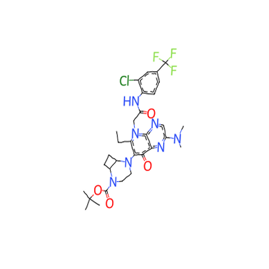 CCc1c(N2CCN(C(=O)OC(C)(C)C)C3CCC32)c(=O)c2nc(N(C)C)cnc2n1CC(=O)Nc1ccc(C(F)(F)F)cc1Cl